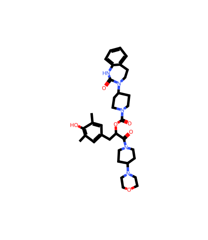 Cc1cc(CC(OC(=O)N2CCC(N3CCc4ccccc4NC3=O)CC2)C(=O)N2CCC(N3CCOCC3)CC2)cc(C)c1O